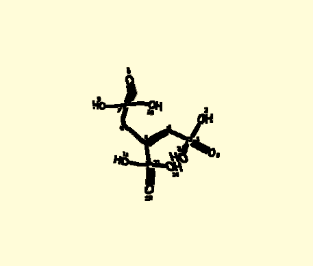 O=P(O)(O)C=C(CP(=O)(O)O)P(=O)(O)O